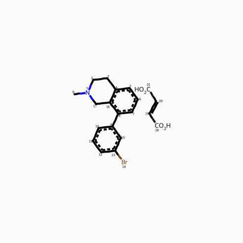 CN1CCc2cccc(-c3cccc(Br)c3)c2C1.O=C(O)C=CC(=O)O